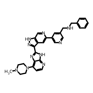 CN1CCN(c2ccnc3[nH]c(-c4n[nH]c5cnc(-c6cncc(CNCc7ccccc7)c6)cc45)nc23)CC1